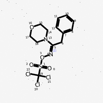 O=S(=O)(O/N=C(/Cc1ccccc1)N1CCOCC1)C(Cl)(Cl)Cl